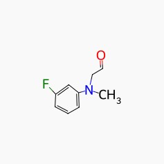 CN(CC=O)c1cccc(F)c1